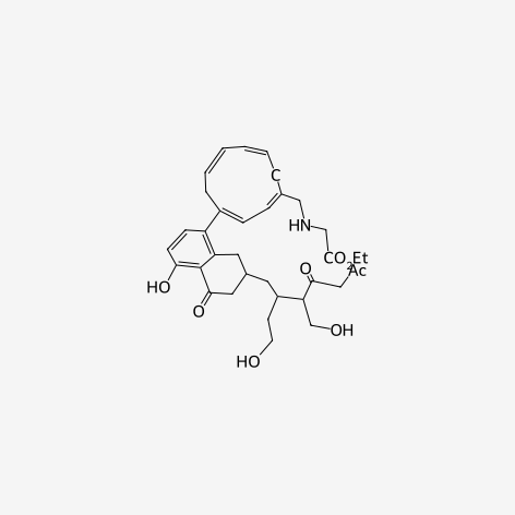 CCOC(=O)CNC/C1=C/C=C(/c2ccc(O)c3c2CC(CC(CCO)C(CO)C(=O)CC(C)=O)CC3=O)C/C=C\C=C/C1